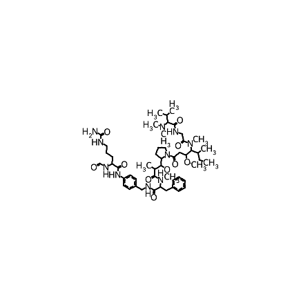 CCC(C)C(C(CC(=O)N1CCCC1C(OC)C(C)C(=O)NC(Cc1ccccc1)C(=O)NCc1ccc(NC(=O)C(CCCNC(N)=O)NC=O)cc1)OC)N(C)C(=O)CNC(=O)C(C(C)C)N(C)C